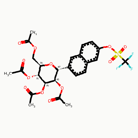 CC(=O)OC[C@H]1O[C@H](c2ccc3cc(OS(=O)(=O)C(F)(F)F)ccc3c2)[C@@H](OC(C)=O)[C@@H](OC(C)=O)[C@@H]1OC(C)=O